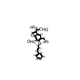 CCCC(C=O)c1coc2c(C=O)c(OC/C=C/c3ccccc3)c(CC(C)C)cc12